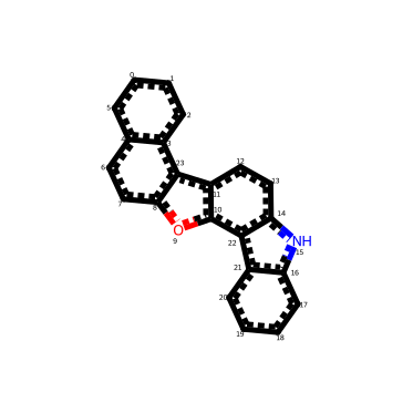 c1ccc2c(c1)ccc1oc3c(ccc4[nH]c5ccccc5c43)c12